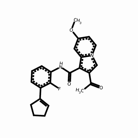 COc1ccn2cc(C(C)=O)c(C(=O)Nc3cccc(C4=CCCC4)c3F)c2c1